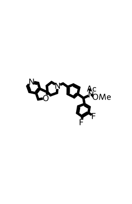 CON(C(C)=O)C(c1ccc(CN2CCC3(CC2)OCc2ccncc23)cc1)c1ccc(F)c(F)c1